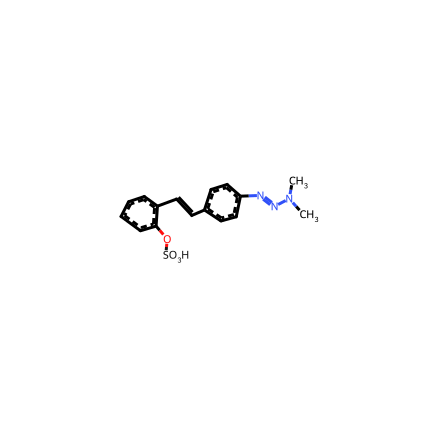 CN(C)N=Nc1ccc(C=Cc2ccccc2OS(=O)(=O)O)cc1